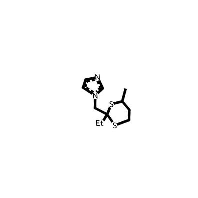 CCC1(Cn2ccnc2)SCCC(C)S1